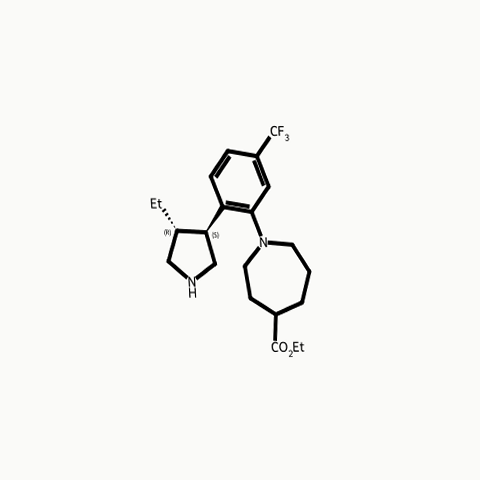 CCOC(=O)C1CCCN(c2cc(C(F)(F)F)ccc2[C@H]2CNC[C@@H]2CC)CC1